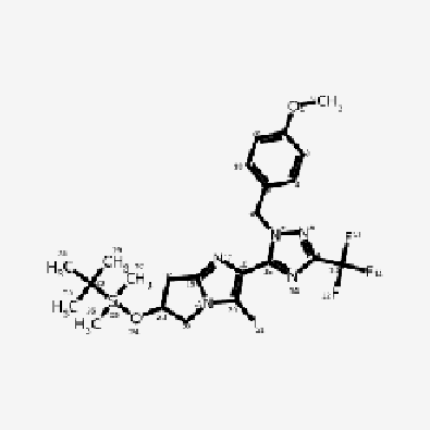 COc1ccc(Cn2nc(C(F)(F)F)nc2-c2nc3n(c2I)CC(O[Si](C)(C)C(C)(C)C)C3)cc1